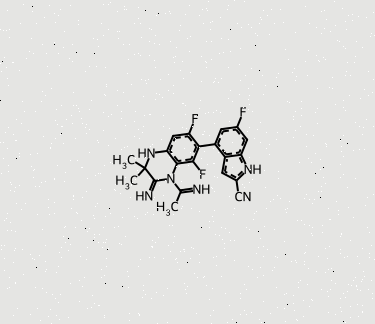 CC(=N)N1C(=N)C(C)(C)Nc2cc(F)c(-c3cc(F)cc4[nH]c(C#N)cc34)c(F)c21